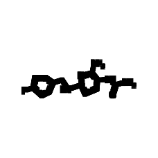 NC(=O)Nc1ccc(NCc2ccc(F)cc2)nc1N